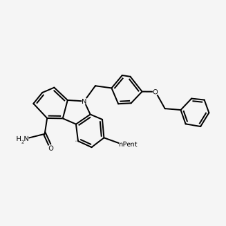 CCCCCc1c[c]c2c3c(C(N)=O)cccc3n(Cc3ccc(OCc4ccccc4)cc3)c2c1